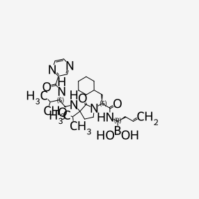 C=CC[C@H](NC(=O)[C@H](CC1CCCCC1)N1CCC(NC(=O)[C@@H](NC(=O)c2cnccn2)C(C)C)(C(C)C)C1=O)B(O)O